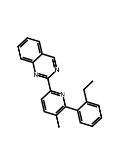 CCc1ccccc1-c1nc(-c2ncc3ccccc3n2)ccc1C